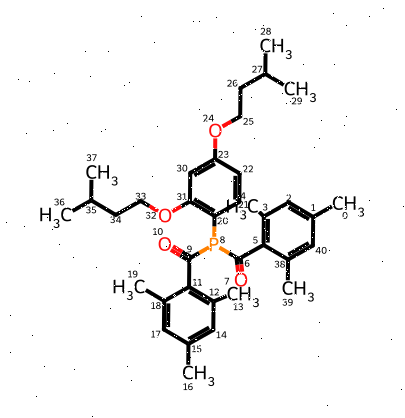 Cc1cc(C)c(C(=O)P(C(=O)c2c(C)cc(C)cc2C)c2ccc(OCCC(C)C)cc2OCCC(C)C)c(C)c1